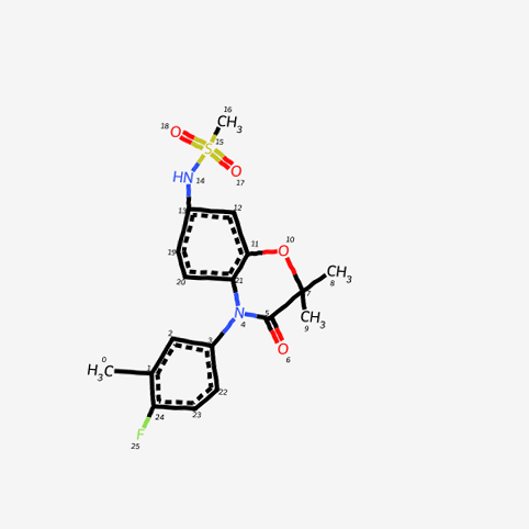 Cc1cc(N2C(=O)C(C)(C)Oc3cc(NS(C)(=O)=O)ccc32)ccc1F